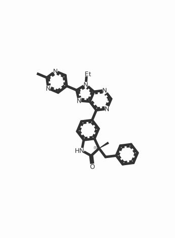 CCn1c(-c2cnc(C)nc2)nc2c(-c3ccc4c(c3)[C@](C)(Cc3ccccc3)C(=O)N4)ncnc21